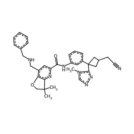 Cn1cnnc1C1(c2cccc(NC(=O)c3cc(CNCc4ccccc4)c4c(n3)C(C)(C)CO4)c2)CC(CC#N)C1